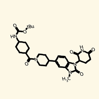 Cn1c(=O)n(C2CCC(=O)NC2=O)c2ccc(C3CCN(C(=O)C4CCC(NC(=O)OC(C)(C)C)CC4)CC3)cc21